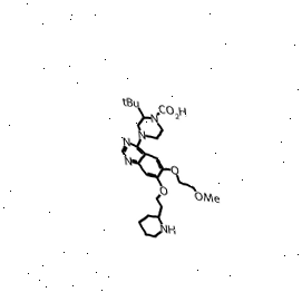 COCCOc1cc2c(N3CCN(C(=O)O)C(C(C)(C)C)C3)ncnc2cc1OCCC1CCCCN1